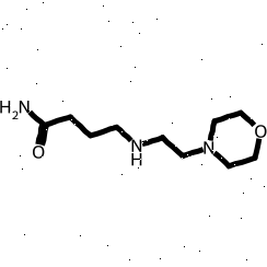 NC(=O)CCCNCCN1CCOCC1